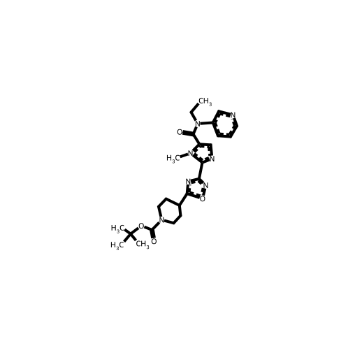 CCN(C(=O)c1cnc(-c2noc(C3CCN(C(=O)OC(C)(C)C)CC3)n2)n1C)c1cccnc1